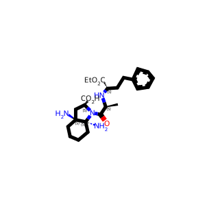 CCOC(=O)[C@H](CCc1ccccc1)N[C@@H](C)C(=O)N1[C@H](C(=O)O)C[C@@]2(N)CCCC[C@]12N